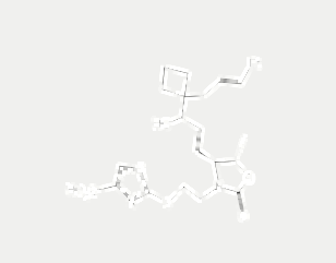 CC/C=C/CC1(C(O)/C=C/[C@H]2[C@H](C)OC(=O)N2CCSc2nc(C(=O)O)cs2)CCC1